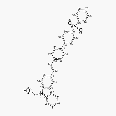 CCn1c2ccccc2c2cc(/C=C/c3ccc(-c4ccc(S(=O)(=O)c5ccccc5)cc4)cc3)ccc21